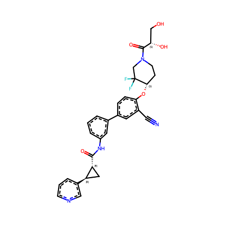 N#Cc1cc(-c2cccc(NC(=O)[C@@H]3C[C@H]3c3cccnc3)c2)ccc1O[C@H]1CCN(C(=O)[C@@H](O)CO)CC1(F)F